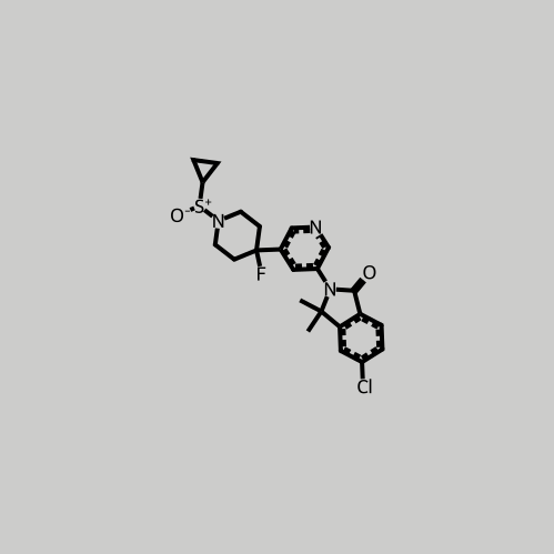 CC1(C)c2cc(Cl)ccc2C(=O)N1c1cncc(C2(F)CCN([S+]([O-])C3CC3)CC2)c1